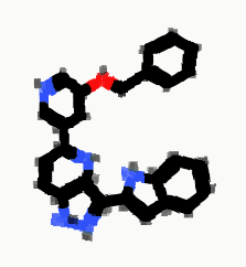 c1ccc(COc2cncc(-c3ccc4[nH]nc(-c5cc6ccccc6[nH]5)c4n3)c2)cc1